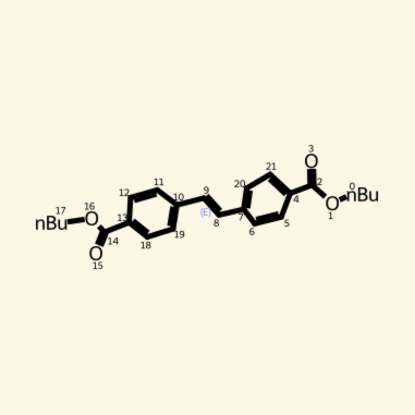 CCCCOC(=O)c1ccc(/C=C/c2ccc(C(=O)OCCCC)cc2)cc1